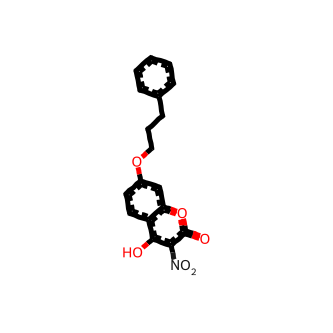 O=c1oc2cc(OCCCc3ccccc3)ccc2c(O)c1[N+](=O)[O-]